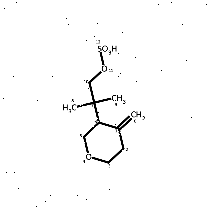 C=C1CCOCC1C(C)(C)COS(=O)(=O)O